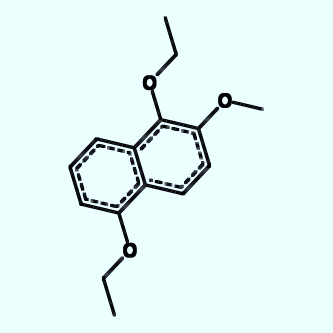 CCOc1cccc2c(OCC)c(OC)ccc12